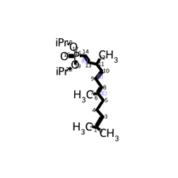 CC(C)=CCC/C(C)=C/C=C/C(C)/C=C/P(=O)(OC(C)C)OC(C)C